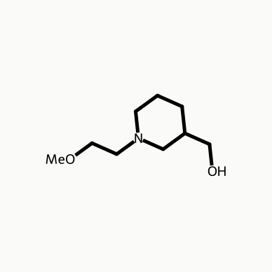 COCCN1CCCC(CO)C1